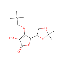 CC1(C)OCC(C2OC(=O)C(O)=C2OC[Si](C)(C)C)O1